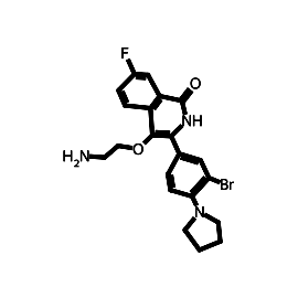 NCCOc1c(-c2ccc(N3CCCC3)c(Br)c2)[nH]c(=O)c2cc(F)ccc12